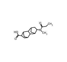 CCC(=O)N(C)C1CC2CC1C1C3CC(C(=O)O)C(C3)C21